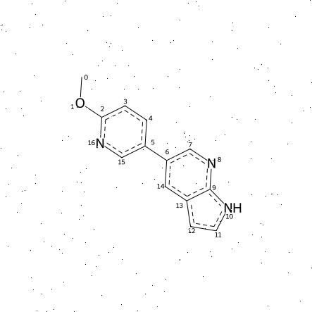 COc1ccc(-c2cnc3[nH]ccc3c2)cn1